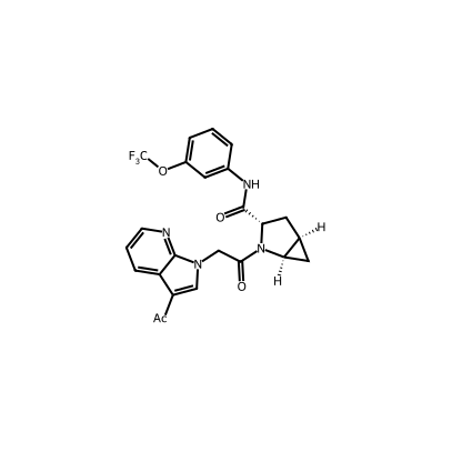 CC(=O)c1cn(CC(=O)N2[C@@H]3C[C@@H]3C[C@H]2C(=O)Nc2cccc(OC(F)(F)F)c2)c2ncccc12